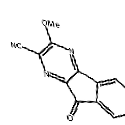 COc1nc2c(nc1C#N)C(=O)c1ccccc1-2